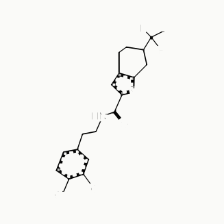 O=C(NCCc1ccc(Cl)c(Cl)c1)c1cc2c(s1)CC(C(F)(F)F)CC2